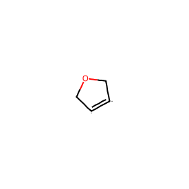 [C]1=[C]COC1